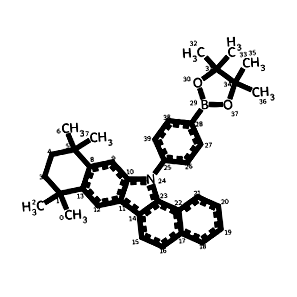 CC1(C)CCC(C)(C)c2cc3c(cc21)c1ccc2ccccc2c1n3-c1ccc(B2OC(C)(C)C(C)(C)O2)cc1